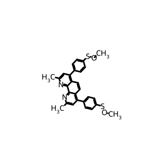 COSc1ccc(-c2cc(C)nc3c2ccc2c(-c4ccc(SOC)cc4)cc(C)nc23)cc1